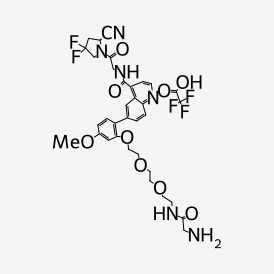 COc1ccc(-c2ccc3nccc(C(=O)NCC(=O)N4CC(F)(F)C[C@H]4C#N)c3c2)c(OCCOCCOCCNC(=O)CN)c1.O=C(O)C(F)(F)F